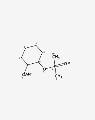 COC1CCCCC1OP(C)(C)=O